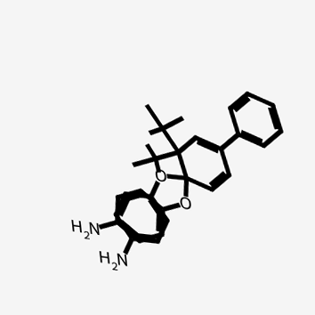 CC(C)(C)C1(C(C)(C)C)C=C(c2ccccc2)C=CC1(Oc1ccc(N)cc1)Oc1ccc(N)cc1